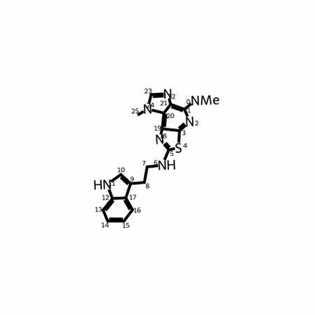 CNc1nc2sc(NCCc3c[nH]c4ccccc34)nc2c2c1ncn2C